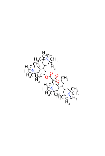 CC(CC(C1CC(C)(C)N(C)C(C)(C)C1)C1CC(C)(C)N(C)C(C)(C)C1)OC(=O)CC(=O)OC(C)CC(C1CC(C)(C)N(C)C(C)(C)C1)C1CC(C)(C)N(C)C(C)(C)C1